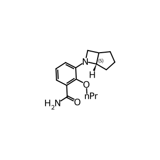 CCCOc1c(C(N)=O)cccc1N1CC2CCC[C@@H]21